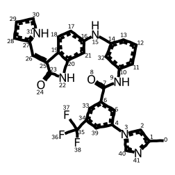 Cc1cn(-c2cc(C(=O)Nc3cccc(Nc4ccc5c(c4)NC(=O)/C5=C/c4ccc[nH]4)c3)cc(C(F)(F)F)c2)cn1